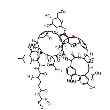 CC(C)C[C@H](C(=O)N[C@H]1C(=O)N[C@@H](CC(N)=O)C(=O)N[C@H]2C(=O)N[C@H]3C(=O)N[C@H](C(=O)N[C@H](C(=O)O)c4cc(O)cc(O)c4-c4cc3ccc4O)[C@H](O)c3ccc(c(Cl)c3)Oc3cc2cc(c3O[C@@H]2O[C@H](CO)[C@@H](O)[C@H](O)[C@H]2O[C@H]2C[C@](C)(N)[C@H](O)[C@H](C)O2)Oc2ccc(cc2Cl)[C@H]1O)N(C)C(=O)C(C)NC(=O)C(N)CCC(=O)NC(P=O)P=O